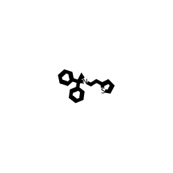 c1ccc(C2(c3ccccc3)CN2CCc2cccs2)cc1